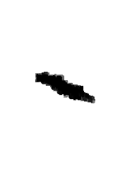 CNS(=O)(=O)Nc1cccc(Cc2c(C)c3ccc(OC(=S)N(C)C)cc3oc2=O)c1